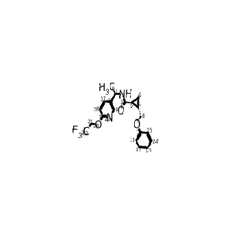 C[C@@H](NC(=O)[C@H]1C[C@@H]1COc1ccccc1)c1ccc(OCC(F)(F)F)nc1